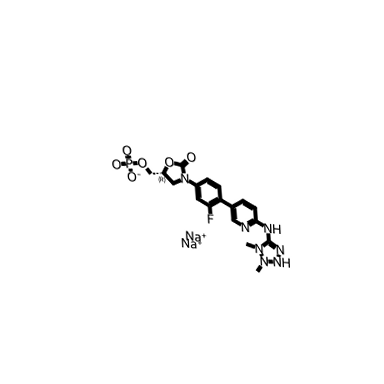 CN1NN=C(Nc2ccc(-c3ccc(N4C[C@H](COP(=O)([O-])[O-])OC4=O)cc3F)cn2)N1C.[Na+].[Na+]